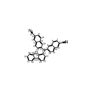 N#Cc1ccc2cc(N(c3ccc4cc(C#N)ccc4c3)c3cccc4c3oc3ccccc34)ccc2c1